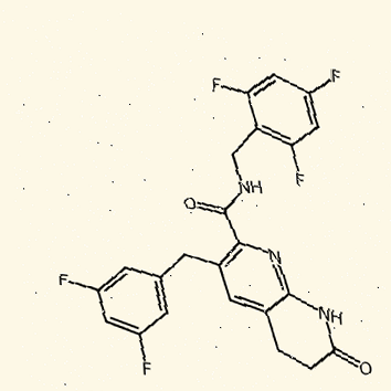 O=C1CCc2cc(Cc3cc(F)cc(F)c3)c(C(=O)NCc3c(F)cc(F)cc3F)nc2N1